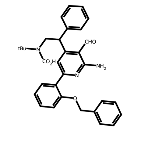 CC(C)(C)N(CC(c1ccccc1)c1cc(-c2ccccc2OCc2ccccc2)nc(N)c1C=O)C(=O)O